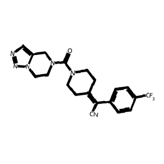 N#CC(=C1CCN(C(=O)N2CCn3nncc3C2)CC1)c1ccc(C(F)(F)F)cc1